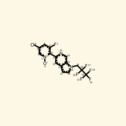 [O-][n+]1cc(Cl)cc(F)c1-c1cc2ccn(CC(F)(F)C(F)(F)F)c2cn1